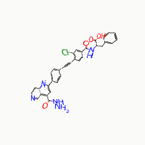 NNC(=O)c1cc(-c2ccc(C#Cc3ccc(C(=O)NC(Cc4ccccc4)C(=O)O)cc3Cl)cc2)nc2ccncc12